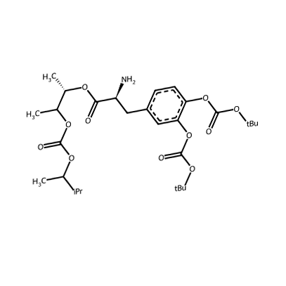 CC(C)C(C)OC(=O)OC(C)[C@H](C)OC(=O)[C@@H](N)Cc1ccc(OC(=O)OC(C)(C)C)c(OC(=O)OC(C)(C)C)c1